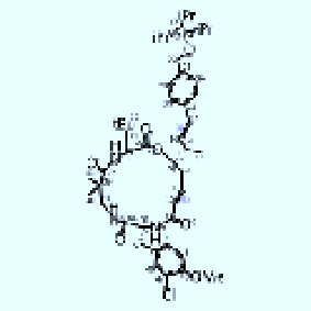 COc1ccc(C[C@H]2NC(=O)/C=C/C[C@@H](C(C)/C=C/c3ccc(CO[Si](C(C)C)(C(C)C)C(C)C)cc3)OC(=O)[C@H](CC(C)(C)C)NC(=O)C(C)(C)CNC2=O)cc1Cl